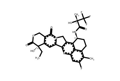 CC[C@@]1(O)C(=O)OCc2c1cc1n(c2=O)Cc2c-1nc1cc(F)c(C)c3c1c2[C@@H](NC(=O)[C@](C)(O)C(F)(F)F)CC3